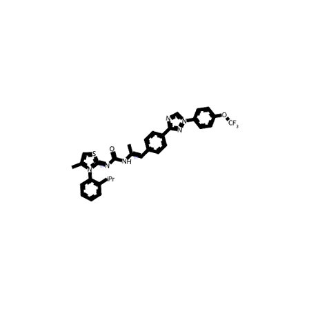 C/C(=C\c1ccc(-c2ncn(-c3ccc(OC(F)(F)F)cc3)n2)cc1)NC(=O)/N=c1\scc(C)n1-c1ccccc1C(C)C